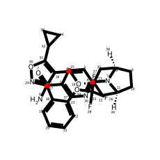 NC(=O)c1ccc(N2[C@@H]3CC[C@H]2C[C@H](OCc2c(-c4ccccc4OC(F)(F)F)noc2C2CC2)C3)nc1